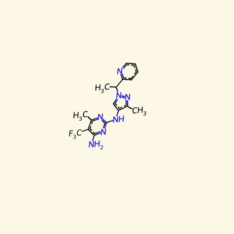 Cc1nn(C(C)c2ccccn2)cc1Nc1nc(C)c(C(F)(F)F)c(N)n1